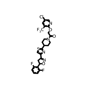 O=C(COc1ncc(Cl)cc1C(F)(F)F)N1CCC(c2nc(C3=NOC(c4c(F)cccc4F)C3)cs2)CC1